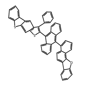 c1ccc(-c2c(-c3c4ccccc4c(-c4cccc5c4ccc4c6ccccc6oc54)c4ccccc34)sc3cc4sc5ccccc5c4cc23)cc1